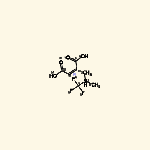 C[SiH](C)C(F)(F)F.O=C(O)/C=C\C(=O)O